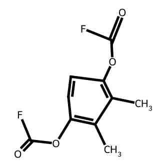 Cc1c(OC(=O)F)ccc(OC(=O)F)c1C